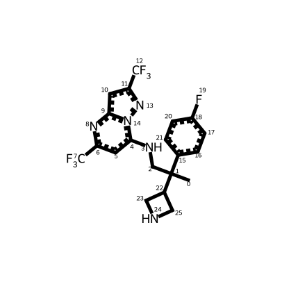 CC(CNc1cc(C(F)(F)F)nc2cc(C(F)(F)F)nn12)(c1ccc(F)cc1)C1CNC1